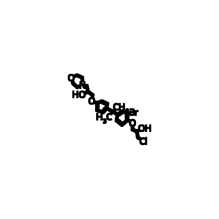 CC(C)(c1ccc(OCC(O)CN2CCOCC2)cc1)c1ccc(OCC(O)CCl)c(Br)c1